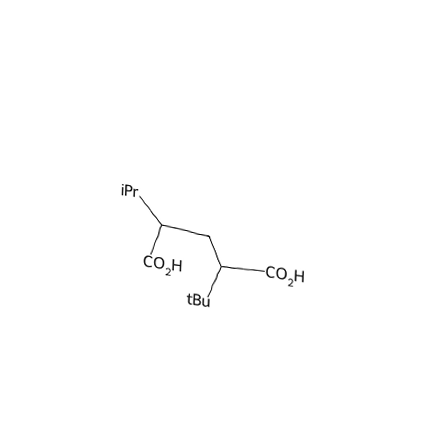 CC(C)C(CC(C(=O)O)C(C)(C)C)C(=O)O